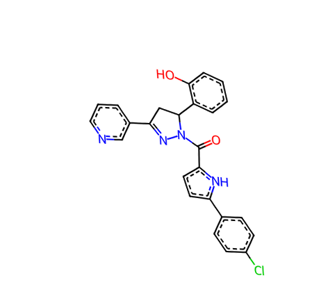 O=C(c1ccc(-c2ccc(Cl)cc2)[nH]1)N1N=C(c2cccnc2)CC1c1ccccc1O